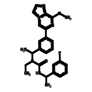 CCN(C(=O)NC(C)c1cccc(F)c1)C(C)c1cccc(-c2cn3ccnc3c(OC)n2)c1